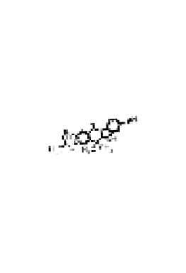 CC(C)Oc1cc2c(cc1Br)C(=O)c1c([nH]c3cc(C#N)ccc13)C2(C)C